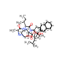 CC[C@H](C)[C@H](NC(=O)[C@H](C)N)C(=O)N([C@@H](Cc1ccc2ccccc2c1)[C@@H](O)[C@@H](O)CC(C)C)C1(C(=O)OC(C)(C)C)CCCCC1